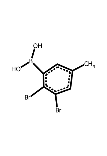 Cc1cc(Br)c(Br)c(B(O)O)c1